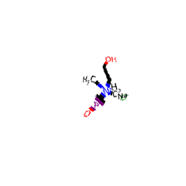 C[N+](C)(C#P=O)CCO.[Cl-].[Na]